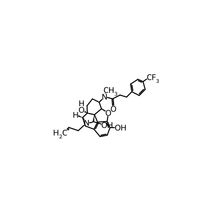 C=CCN1CC(O)[C@]23c4c5ccc(O)c4OC2C(N(C)C(=O)CCc2ccc(C(F)(F)F)cc2)CC[C@@]3(O)[C@H]1C5